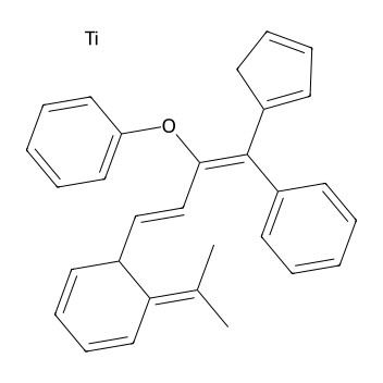 CC(C)=C1C=CC=CC1C=CC(Oc1ccccc1)=C(C1=CC=CC1)c1ccccc1.[Ti]